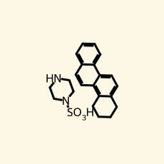 O=S(=O)(O)N1CCNCC1.c1ccc2c(c1)ccc1c3c(ccc12)CCCC3